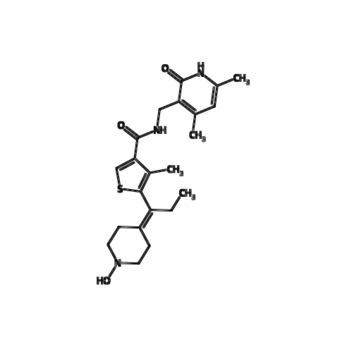 CCC(=C1CCN(O)CC1)c1scc(C(=O)NCc2c(C)cc(C)[nH]c2=O)c1C